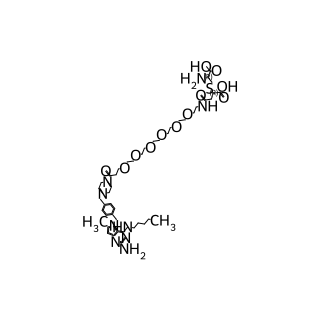 CCCCCNc1nc(N)nc2ccn(Cc3ccc(CN4CCN(C(=O)CCOCCOCCOCCOCCOCCOCCNC(=O)C[C@@H](SC[C@H](N)C(=O)O)C(=O)O)CC4)cc3C)c12